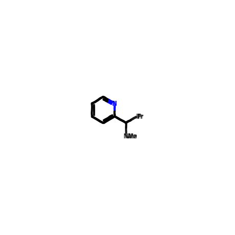 CNC(c1ccccn1)C(C)C